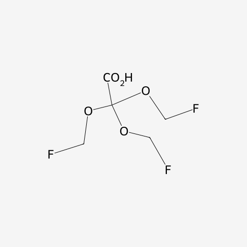 O=C(O)C(OCF)(OCF)OCF